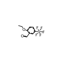 CCOc1ccc(S(F)(F)(F)(F)F)cc1C=O